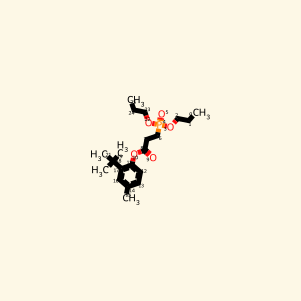 CCCOP(=O)(CCC(=O)Oc1ccc(C)cc1C(C)(C)C)OCCC